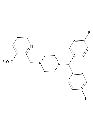 CCOC(=O)c1cccnc1CN1CCN(C(c2ccc(F)cc2)c2ccc(F)cc2)CC1